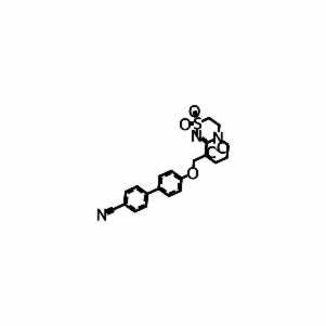 N#Cc1ccc(-c2ccc(OCC34CCC(CC3)N3CCS(=O)(=O)N=C34)cc2)cc1